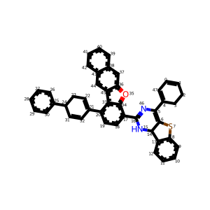 C1=CCCC(C2=C3Sc4ccccc4C3NC(c3ccc(C4=CCC(c5ccccc5)C=C4)c4c3oc3cc5ccccc5cc34)=N2)=C1